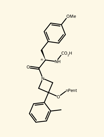 CCCCCOC1(c2ccccc2C)CN(C(=O)[C@@H](Cc2ccc(OC)cc2)NC(=O)O)C1